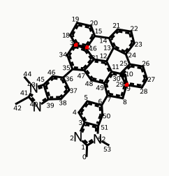 Cc1nc2ccc(-c3cccc4c(-c5c(-c6ccccc6)cccc5-c5ccccc5)c5cccc(-c6ccc7nc(C)n(C)c7c6)c5cc34)cc2n1C